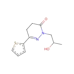 CC(O)CN1N=C(c2cccs2)CCC1=O